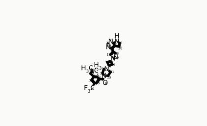 CN(C)Cc1cc(C(=O)N2CCN(C3CC(n4cc(-c5ncnc6[nH]ccc56)cn4)C3)CC2)cc(C(F)(F)F)c1